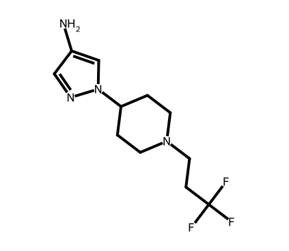 Nc1cnn(C2CCN(CCC(F)(F)F)CC2)c1